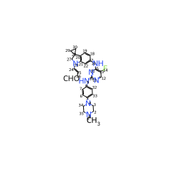 CN1CCN(c2ccc(Nc3ncc(F)c(Nc4ccc5c(c4)N(C=CC=O)CC54CC4)n3)cc2)CC1